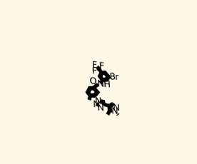 Cc1ccc(C(=O)Nc2cc(Br)cc(C(F)(F)F)c2)cc1-n1cc(-c2cnn(C)c2C)nn1